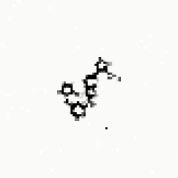 Cc1[nH]ncc1-c1ccc2nc(Nc3cc(CN4CCC[C@H]4C)ccn3)sc2n1